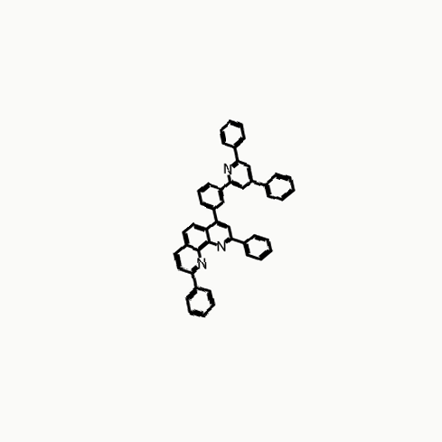 c1ccc(-c2cc(-c3ccccc3)nc(-c3cccc(-c4cc(-c5ccccc5)nc5c4ccc4ccc(-c6ccccc6)nc45)c3)c2)cc1